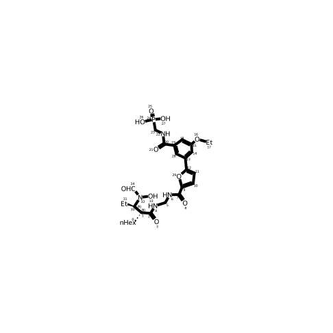 CCCCCC[C@@H](C(=O)NCNC(=O)c1ccc(-c2cc(OCC)cc(C(=O)NCP(=O)(O)O)c2)o1)[C@@H](CC)N(O)C=O